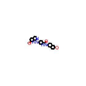 COc1ccc2c(c1)CCC(NC(=O)c1ccc(Nc3nccc4ccc(OC)cc34)cc1)C2